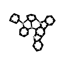 c1ccc(N2c3ccccc3B3c4c2cccc4-n2c4ccccc4c4cc5c(sc6ccccc65)c3c42)cc1